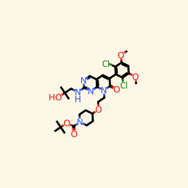 COc1cc(OC)c(Cl)c(-c2cc3cnc(NCC(C)(C)O)nc3n(CCOC3CCN(C(=O)OC(C)(C)C)CC3)c2=O)c1Cl